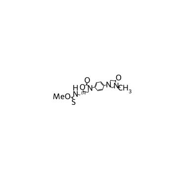 COC(=S)NC[C@H]1CN(c2ccc(N3CC(=O)N(C)C3)cc2)C(=O)O1